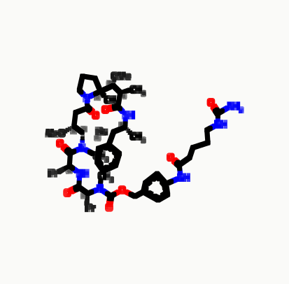 CC[C@H](C)[C@@H]([C@@H](CC(=O)N1CCC[C@]1(C)[C@H](OC)[C@@H](C)C(=O)N[C@H](C)Cc1ccccc1)OC)N(C)C(=O)[C@@H](NC(=O)[C@H](C(C)C)N(C)C(=O)OCc1ccc(NC(=O)CCCCNC(N)=O)cc1)C(C)C